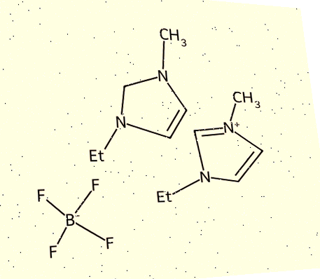 CCN1C=CN(C)C1.CCn1cc[n+](C)c1.F[B-](F)(F)F